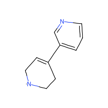 C1=C(c2cccnc2)CC[N]C1